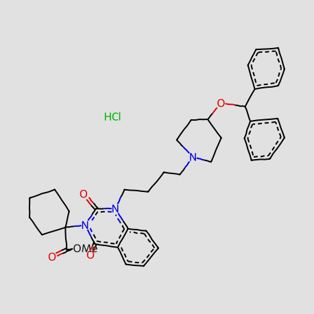 COC(=O)C1(n2c(=O)c3ccccc3n(CCCCN3CCC(OC(c4ccccc4)c4ccccc4)CC3)c2=O)CCCCC1.Cl